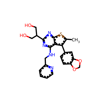 Cc1sc2nc(C(CO)CO)nc(NCc3ccccn3)c2c1-c1ccc2c(c1)OCO2